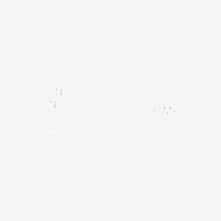 COc1ccc(CSc2cnnc(O)c2)cc1